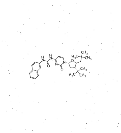 CC(C)(C)CC1O[C@@H](n2ccc(NC(=O)Nc3ccc4ccccc4c3)nc2=O)C[C@H]1C(C)(C)C